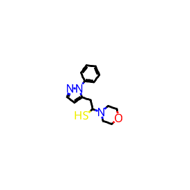 SC(Cc1ccnn1-c1ccccc1)N1CCOCC1